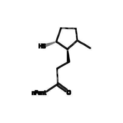 CCCCCC(=O)CC[C@@H]1C(C)CC[C@H]1S